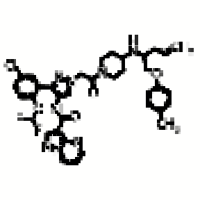 C=CCC(COc1ccc(C)cc1)NC1CCN(C(=O)Cn2cc(NC(=O)c3cnn4cccnc34)c(-c3cc(Cl)ccc3OC(F)F)n2)CC1